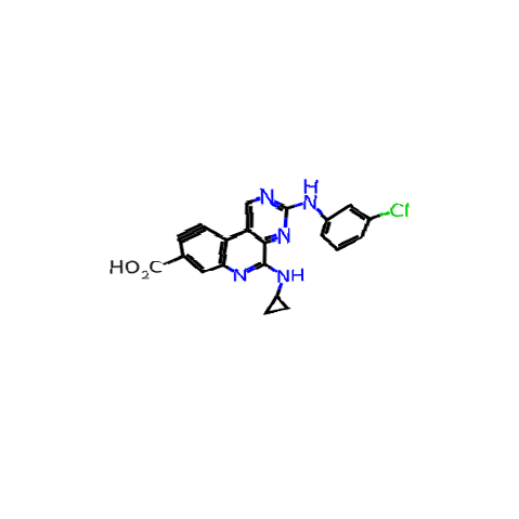 O=C(O)c1c#cc2c(c1)nc(NC1CC1)c1nc(Nc3cccc(Cl)c3)ncc12